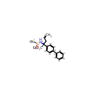 C=CC[C@](N[S+]([O-])C(C)(C)C)(C(=O)OCC)c1ccc(-c2ccccc2)cc1